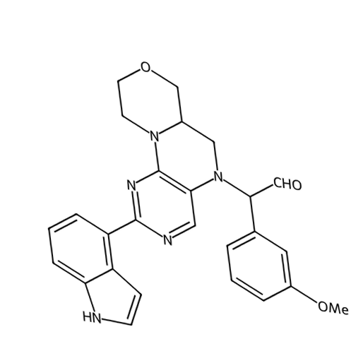 COc1cccc(C(C=O)N2CC3COCCN3c3nc(-c4cccc5[nH]ccc45)ncc32)c1